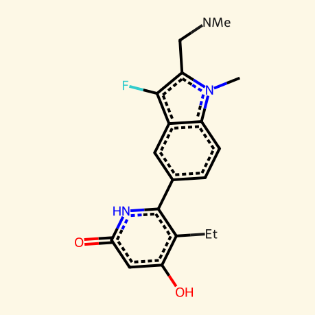 CCc1c(O)cc(=O)[nH]c1-c1ccc2c(c1)c(F)c(CNC)n2C